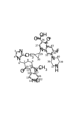 Cc1nccn1CC1CCc2c(c3ccccc3n2C)C1=O.Cl.O=C(O)c1cn(C2CC2)c2cc(N3CCNCC3)c(F)cc2c1=O